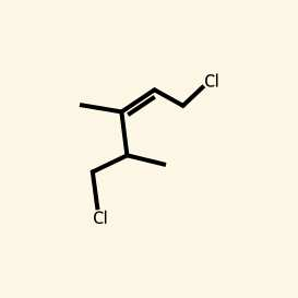 CC(=CCCl)C(C)CCl